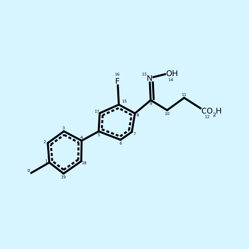 Cc1ccc(-c2ccc(C(CCC(=O)O)=NO)c(F)c2)cc1